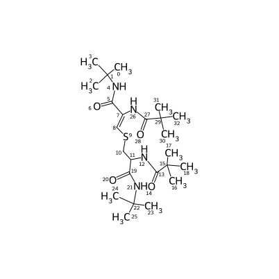 CC(C)(C)NC(=O)C(=CSCC(NC(=O)C(C)(C)C)C(=O)NC(C)(C)C)NC(=O)C(C)(C)C